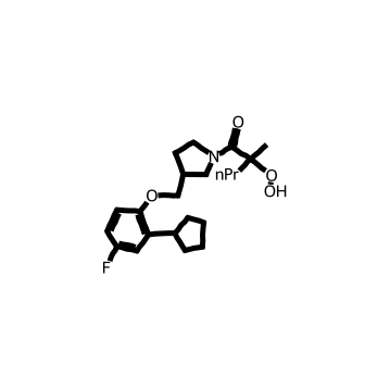 CCCC(C)(OO)C(=O)N1CCC(COc2ccc(F)cc2C2CCCC2)C1